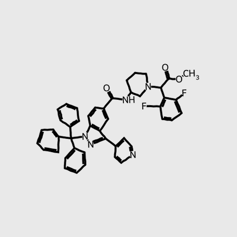 COC(=O)C(c1c(F)cccc1F)N1CCCC(NC(=O)c2ccc3c(c2)c(-c2ccncc2)nn3C(c2ccccc2)(c2ccccc2)c2ccccc2)C1